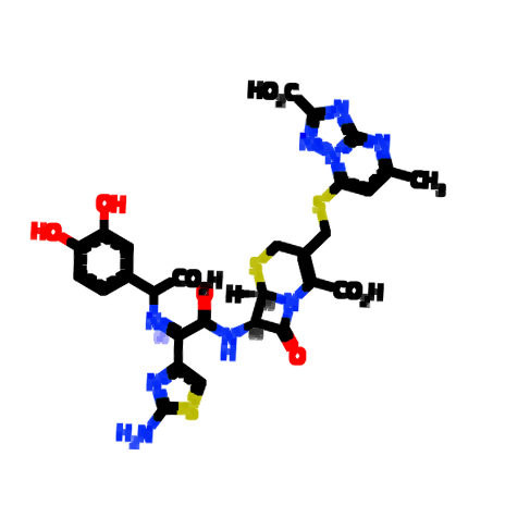 Cc1cc(SCC2=C(C(=O)O)N3C(=O)[C@@H](NC(=O)/C(=N\C(C(=O)O)c4ccc(O)c(O)c4)c4csc(N)n4)[C@H]3SC2)n2nc(C(=O)O)nc2n1